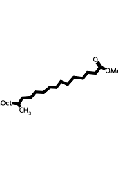 CCCCCCCCC(C)CCCCCCCCCCCCC(=O)OC